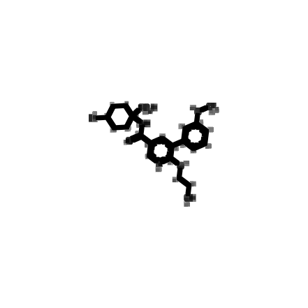 CCC1CCC(NC(=O)c2cnc(OCCO)c(-c3cccc(OC(F)(F)F)c3)c2)(C(=O)O)CC1